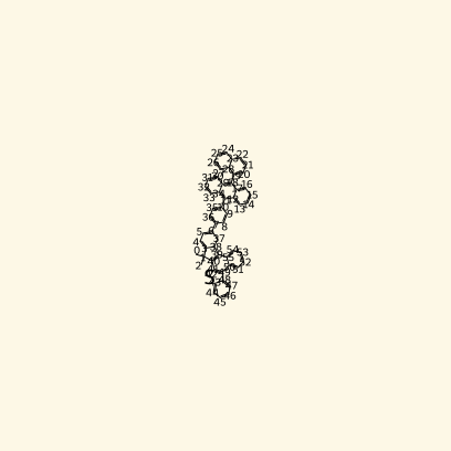 CC1(C)C2=CC=C(c3ccc(-c4c5ccccc5c(C5=CC=CC6C=CC=CC56)c5ccccc45)cc3)CC2c2c1c1sc3ccccc3c1c1ccccc21